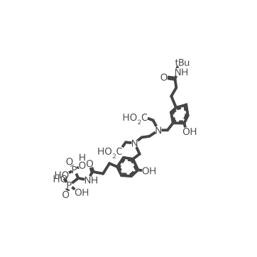 CC(C)(C)NC(=O)CCc1ccc(O)c(CN(CCN(CC(=O)O)Cc2cc(CCC(=O)NC(P(=O)(O)O)P(=O)(O)O)ccc2O)CC(=O)O)c1